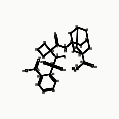 CN(C1(C(=O)NC23CC4CC(C2)CC(C(N)=O)(C4)C3)CCC1)S(=O)(=O)c1ccccc1[N+](=O)[O-]